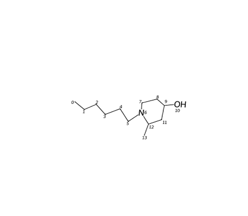 CCCCCCN1CCC(O)CC1C